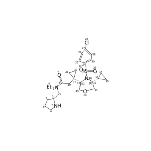 CCN(CC1CCCN1)C(=O)CC1([C@H]2COC[C@@H](C3CC3)N2S(=O)(=O)c2ccc(Cl)cc2)CC1